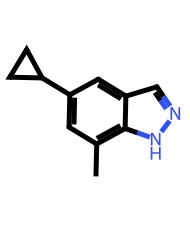 Cc1cc(C2CC2)cc2cn[nH]c12